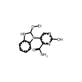 CCOC1Nc2ccccc2N1c1cnc(O)nc1C(N)=O